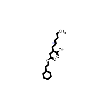 CCC/C=C/CC(CC(=O)OCCC1CCCCC1)C(=O)O